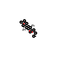 Cc1ccccc1-c1cccc(-c2cccc(N(c3c(C)cccc3C)c3cc(C(C)C)c4ccc5c(N(c6c(C)cccc6C)c6cccc7c6oc6c(-c8ccccc8C)cccc67)cc(C(C)C)c6ccc3c4c65)c2O)c1